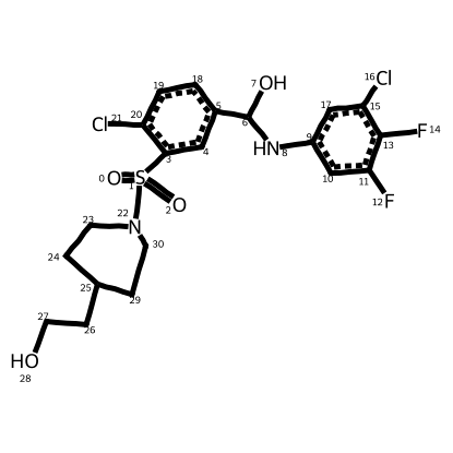 O=S(=O)(c1cc(C(O)Nc2cc(F)c(F)c(Cl)c2)ccc1Cl)N1CCC(CCO)CC1